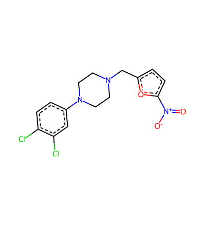 O=[N+]([O-])c1ccc(CN2CCN(c3ccc(Cl)c(Cl)c3)CC2)o1